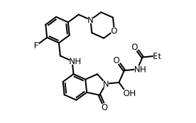 CCC(=O)NC(=O)C(O)N1Cc2c(NCc3cc(CN4CCOCC4)ccc3F)cccc2C1=O